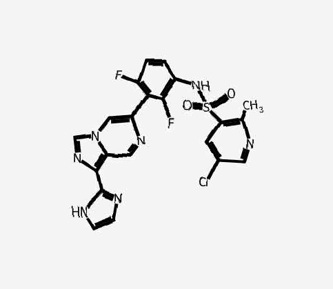 Cc1ncc(Cl)cc1S(=O)(=O)Nc1ccc(F)c(-c2cn3cnc(-c4ncc[nH]4)c3cn2)c1F